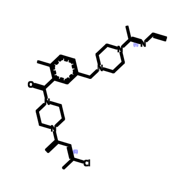 C=C/N=C(\C)N1CCN(Cc2ccc(C)c(C(=O)N3CCN(C(=C)/C=C(\C)Cl)CC3)c2)CC1